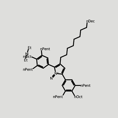 CCCCCCCCCCCCCCCCCCC1=C(c2cc(CCCCC)c(CCCCCCCC)c(CCCCC)c2)[N+](=[N-])C(c2cc(CCCCC)c(CCCCCCCC)c(CCCCC)c2)=C1.C[CH2][Ni][CH2]C